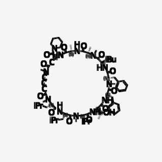 CC[C@H](C)[C@@H]1NC(=O)[C@H](Cc2ccccc2)N(C)C(=O)[C@H](Cc2ccccc2)NC(=O)[C@H]([C@@H](C)O)NC(=O)[C@H](C(C)C)N(C)C(=O)[C@H](CC(C)C)NC(=O)[C@H](CC(C)C)N(C)C(=O)CCCN(C)C(=O)C[C@@H](C(=O)N2CCCCC2)NC(=O)[C@H](C)NC(=O)[C@H](C)N(C)C1=O